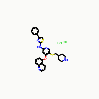 Cl.Cl.c1ccc(-c2csc(Nc3cc(Oc4cccc5ncccc45)c(SCC4CCNCC4)cn3)n2)cc1